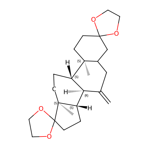 C=C1CC2CC3(CC[C@]2(C)[C@H]2CC[C@@]4(C)[C@@H](CCC45OCCO5)[C@H]12)OCCO3